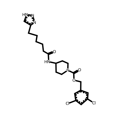 O=C(CCCCCc1c[nH]nn1)NC1CCN(C(=O)OCc2cc(Cl)cc(Cl)c2)CC1